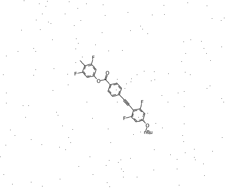 CCCCOc1cc(F)c(C#Cc2ccc(C(=O)Oc3cc(F)c(C)c(F)c3)cc2)c(F)c1